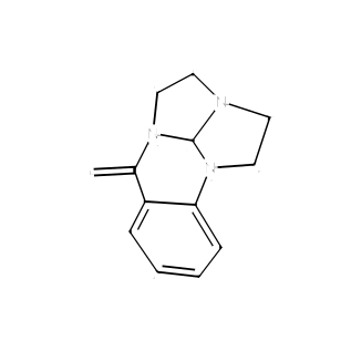 O=C1c2ccccc2N2CCN3CCN1C32